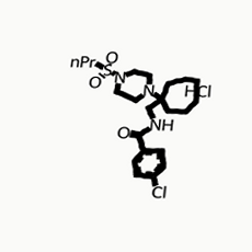 CCCS(=O)(=O)N1CCN(C2(CNC(=O)c3ccc(Cl)cc3)CCCCCC2)CC1.Cl